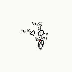 CCOc1cc(F)c(NC(=O)N2C3CC(C)CC2C3)cc1-c1ncn(C)n1